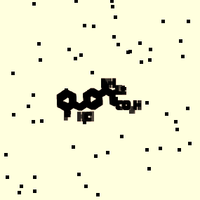 CC[C@@H](CC(=O)O)C(=N)c1ccc(Cc2ccccc2F)cc1.Cl